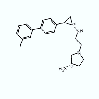 Cc1cccc(-c2ccc(C3C[C@@H]3NCCN3CC[C@H](N)C3)cc2)c1